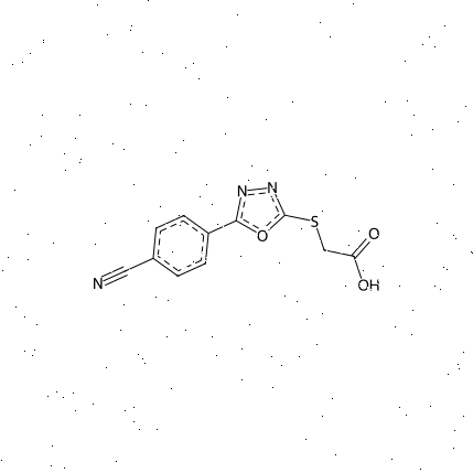 N#Cc1ccc(-c2nnc(SCC(=O)O)o2)cc1